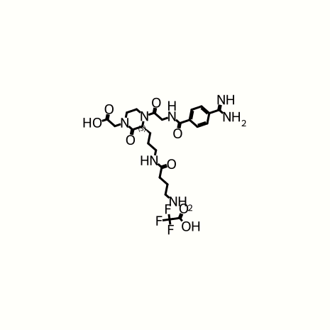 N=C(N)c1ccc(C(=O)NCC(=O)N2CCN(CC(=O)O)C(=O)[C@@H]2CCCNC(=O)CCCN)cc1.O=C(O)C(F)(F)F